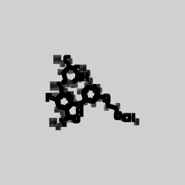 COCCOc1cc(Nc2nc(N[C@@H](CN)CC(C)C)c(F)cc2C(N)=O)ccn1